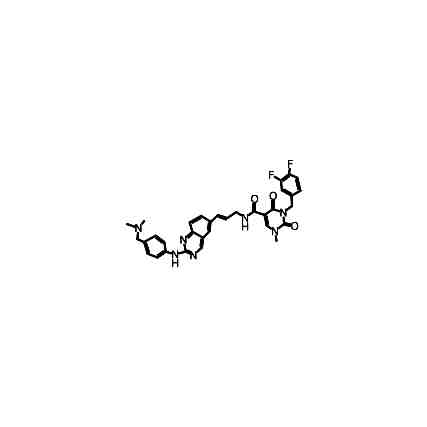 CN(C)Cc1ccc(Nc2ncc3cc(C=CCNC(=O)c4cn(C)c(=O)n(Cc5ccc(F)c(F)c5)c4=O)ccc3n2)cc1